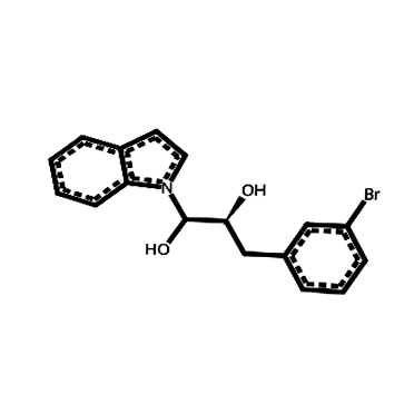 OC([C@@H](O)Cc1cccc(Br)c1)n1ccc2ccccc21